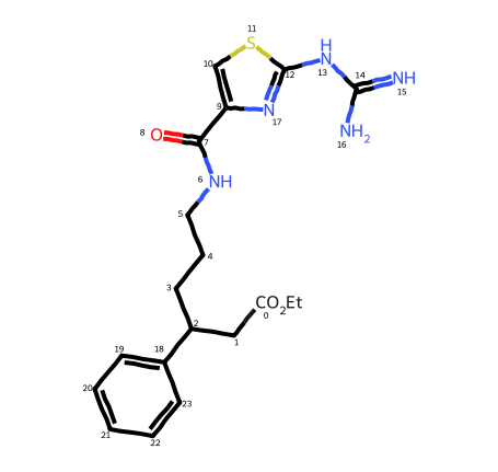 CCOC(=O)CC(CCCNC(=O)c1csc(NC(=N)N)n1)c1ccccc1